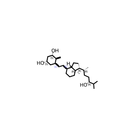 C=C1/C(=C\C=C2/CCC[C@]3(C)[C@@H]([C@H](C)CC[C@@H](O)C(C)C)CC[C@@H]23)C[C@H](O)C[C@@H]1O